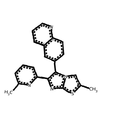 Cc1cccc(-c2nc3sc(C)cn3c2-c2ccc3ncccc3c2)n1